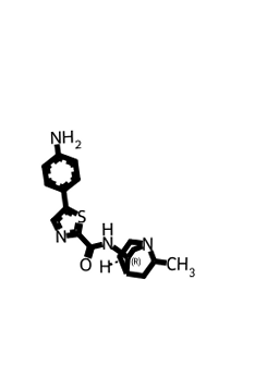 CC1CC2CCN1C[C@@H]2NC(=O)c1ncc(-c2ccc(N)cc2)s1